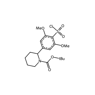 COc1cc(C2CCCCN2C(=O)OC(C)(C)C)cc(OC)c1S(=O)(=O)Cl